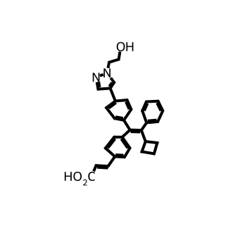 O=C(O)C=Cc1ccc(C(=C(c2ccccc2)C2CCC2)c2ccc(-c3cnn(CCO)c3)cc2)cc1